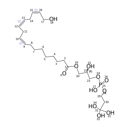 O=C(CCCCCCC/C=C\C/C=C\C/C=C\CO)OC[C@@H](O)COP(=O)(O)OCCC(O)(O)O